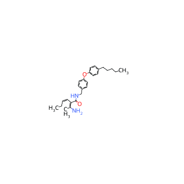 CC/C=C\C(C(=O)NCc1ccc(Oc2ccc(CCCCC)cc2)cc1)=C(/C)N